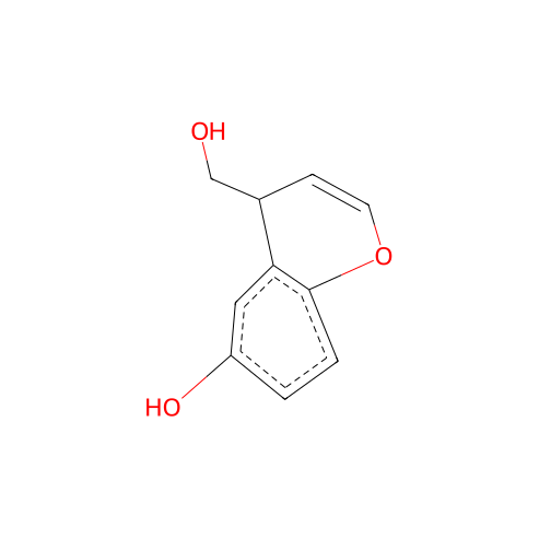 OCC1C=COc2ccc(O)cc21